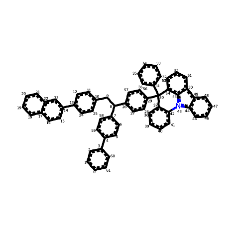 c1ccc(-c2ccc(C(Cc3ccc(-c4ccc5ccccc5c4)cc3)c3ccc(C4(c5ccccc5)c5ccccc5-n5c6ccccc6c6cccc4c65)cc3)cc2)cc1